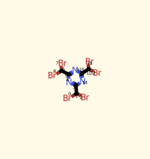 BrC(Br)c1nc(C(Br)Br)nc(C(Br)Br)n1